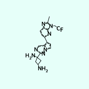 Cc1nc2ccc(-c3ccn4nc(C5(N)CC(N)C5)ncc34)nc2n1CCF